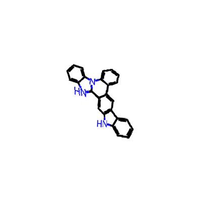 c1ccc2c(c1)NC1c3cc4[nH]c5ccccc5c4cc3-c3ccccc3N21